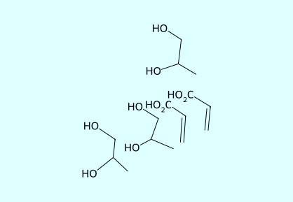 C=CC(=O)O.C=CC(=O)O.CC(O)CO.CC(O)CO.CC(O)CO